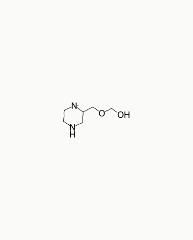 OCOCC1CNCC[N]1